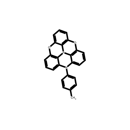 Cc1ccc(N2c3cccc4c3P3c5c(cccc5Oc5cccc2c53)O4)cc1